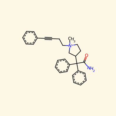 C[N+]1(CCC#Cc2ccccc2)CCC(C(C(N)=O)(c2ccccc2)c2ccccc2)C1